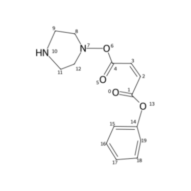 O=C(/C=C\C(=O)ON1CCNCC1)Oc1ccccc1